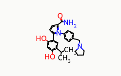 CC(C)c1cc(-c2ccc(C(N)=O)n2-c2ccc(CN3CCCC3)cc2)c(O)cc1O